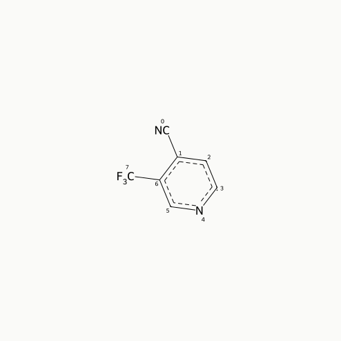 N#Cc1c[c]ncc1C(F)(F)F